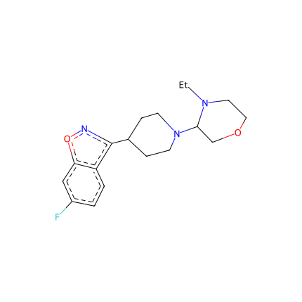 CCN1CCOCC1N1CCC(c2noc3cc(F)ccc23)CC1